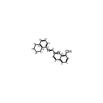 Oc1cccc2ccc(/C=N/c3cccc4c3CCCC4)nc12